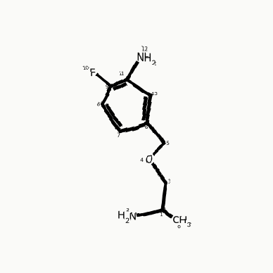 CC(N)COCc1ccc(F)c(N)c1